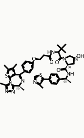 Cc1ncsc1-c1ccc([C@H](C)NC(=O)[C@@H]2C[C@@H](O)CN2C(=O)C(NC(=O)CCOc2ccc(C3=N[C@@H](C)c4nnc(C)n4-c4sc(C)c(C)c43)cc2)C(C)(C)C)cc1